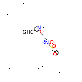 O=Cc1ccnc(OCC=CCNC(=O)C[S+]([O-])Cc2ccco2)c1